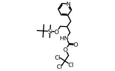 CC(C)(C)[Si](C)(C)OCC(CNC(=O)OCC(Cl)(Cl)Cl)Cc1cccnc1